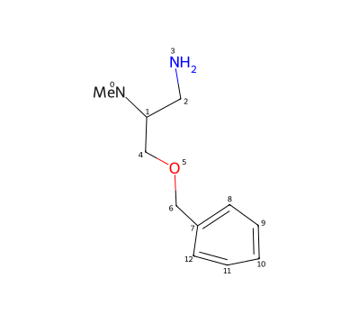 CNC(CN)COCc1ccccc1